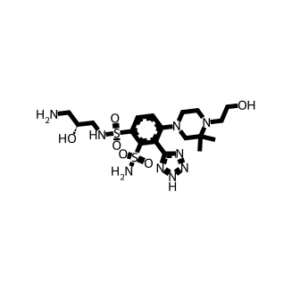 CC1(C)CN(c2ccc(S(=O)(=O)NC[C@H](O)CN)c(S(N)(=O)=O)c2-c2nn[nH]n2)CCN1CCO